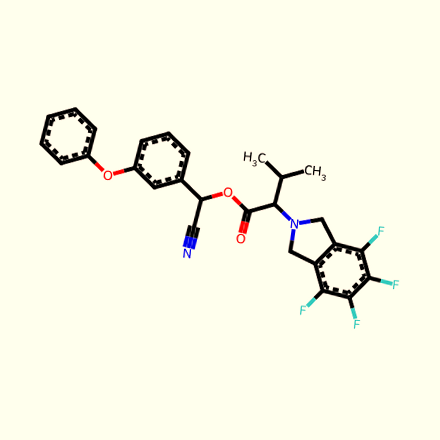 CC(C)C(C(=O)OC(C#N)c1cccc(Oc2ccccc2)c1)N1Cc2c(F)c(F)c(F)c(F)c2C1